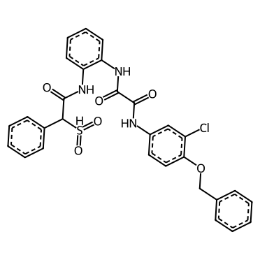 O=C(Nc1ccc(OCc2ccccc2)c(Cl)c1)C(=O)Nc1ccccc1NC(=O)C(c1ccccc1)[SH](=O)=O